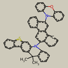 CC1(C)c2ccccc2N(c2cc3c4ccccc4c(N4c5ccccc5Oc5ccccc54)cc3c3ccccc23)c2cc3sc4ccccc4c3cc21